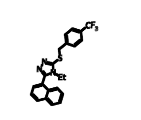 CCn1c(SCc2ccc(C(F)(F)F)cc2)nnc1-c1cccc2ccccc12